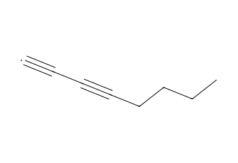 [C]#CC#CCCCC